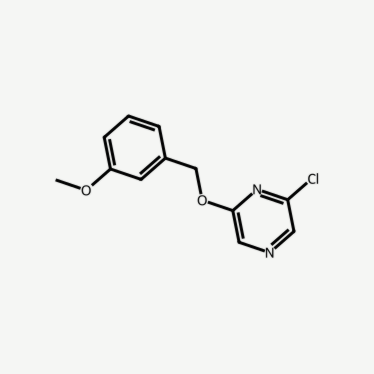 COc1cccc(COc2cncc(Cl)n2)c1